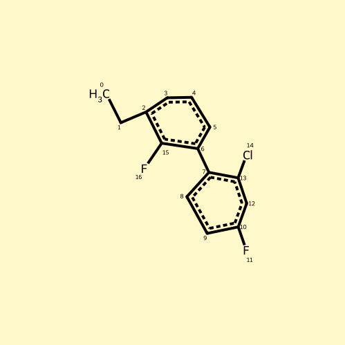 CCc1cccc(-c2ccc(F)cc2Cl)c1F